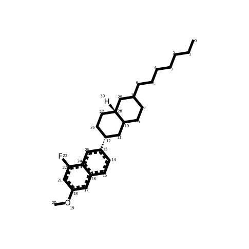 CCCCCCCC1CCC2C[C@H](c3ccc4cc(OC)cc(F)c4c3)CC[C@@H]2C1